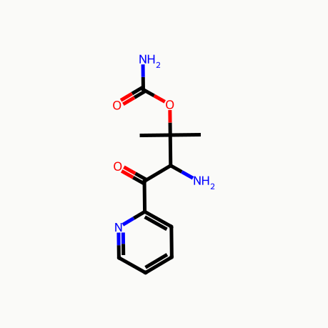 CC(C)(OC(N)=O)C(N)C(=O)c1ccccn1